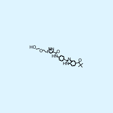 CC(C)(C)C(=O)c1ccc2[nH]c(-c3ccc(NC(=O)c4cn(CCOCCO)nn4)cc3)nc2c1